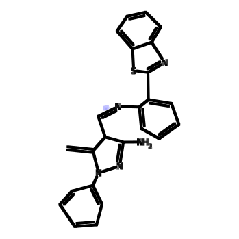 C=C1C(/C=N\c2ccccc2-c2nc3ccccc3s2)C(N)=NN1c1ccccc1